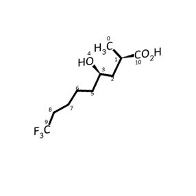 C[C@H](C[C@H](O)CCCCC(F)(F)F)C(=O)O